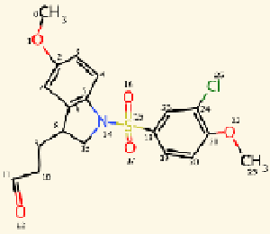 COc1ccc2c(c1)C(CCC=O)CN2S(=O)(=O)c1ccc(OC)c(Cl)c1